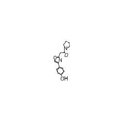 O=C(Cc1nc(-c2ccc(O)cc2)co1)N1CCCC1